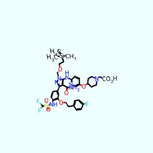 C[Si](C)(C)CCOCn1nc(-c2ccc(NS(=O)(=O)C(F)F)c(OCCc3ccc(F)cc3)c2)c(C(N)=O)c1Nc1ccc(OC2CCN(CC(=O)O)CC2)cn1